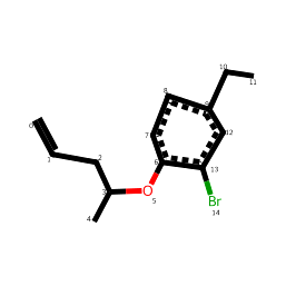 C=CCC(C)Oc1ccc(CC)cc1Br